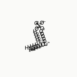 O.O.O.O.O.O.O.O.O.O.O=S(=O)([O-])[O-].[Li+].[Na+]